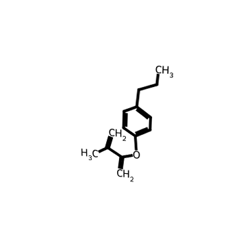 C=C(C)C(=C)Oc1ccc(CCC)cc1